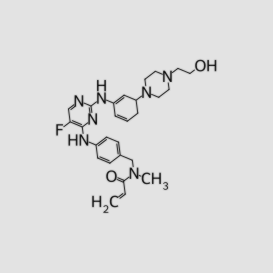 C=CC(=O)N(C)Cc1ccc(Nc2nc(NC3=CC(N4CCN(CCO)CC4)CC=C3)ncc2F)cc1